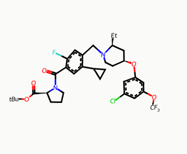 CC[C@H]1C[C@@H](Oc2cc(Cl)cc(OC(F)(F)F)c2)CCN1Cc1cc(F)c(C(=O)N2CCC[C@H]2C(=O)OC(C)(C)C)cc1C1CC1